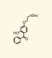 CCCCCCCCCCCCOc1ccc(C(=O)c2ccccc2)c(O)c1